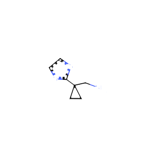 NCC1(c2ncc[nH]2)CC1